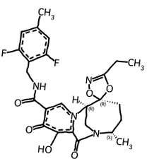 CCC1=NO[C@@]2(CC[C@H](C)N3C[C@H]2n2cc(C(=O)NCc4c(F)cc(C)cc4F)c(=O)c(O)c2C3=O)O1